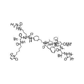 CCC(C)C(C(CC(=O)N1CCC[C@H]1C(OC)C(C)C(=O)N[C@@H](Cc1ccccc1)C(=O)NCCc1ccc(NC(=O)C(CCCNC(N)=O)NC(=O)[C@H](NC(=O)CCCCCN2C(=O)C=CC2=O)C(C)C)cc1)OC)N(C)C(=O)[C@@H](NC(=O)C(C(C)C)N(C)C)C(C)C